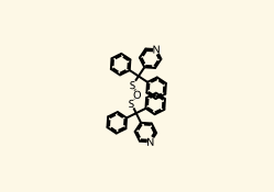 c1ccc(C(SOSC(c2ccccc2)(c2ccccc2)c2ccncc2)(c2ccccc2)c2ccncc2)cc1